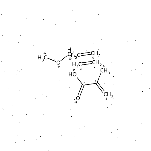 C=C.C=C.C=C(C)C(=O)O.COC